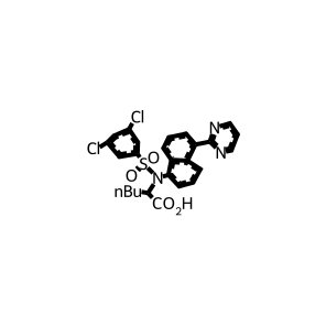 CCCCC(C(=O)O)N(c1cccc2c(-c3ncccn3)cccc12)S(=O)(=O)c1cc(Cl)cc(Cl)c1